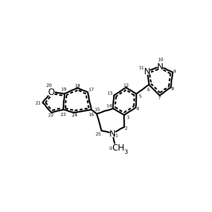 CN1Cc2cc(-c3cccnn3)ccc2C(c2ccc3occc3c2)C1